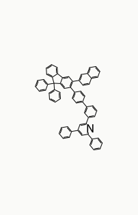 c1ccc(-c2cc(-c3ccccc3)nc(-c3cccc(-c4ccc(-c5cc6c(cc5-c5ccc7ccccc7c5)-c5ccccc5C6(c5ccccc5)c5ccccc5)cc4)c3)c2)cc1